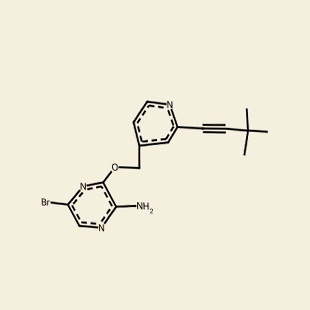 CC(C)(C)C#Cc1cc(COc2nc(Br)cnc2N)ccn1